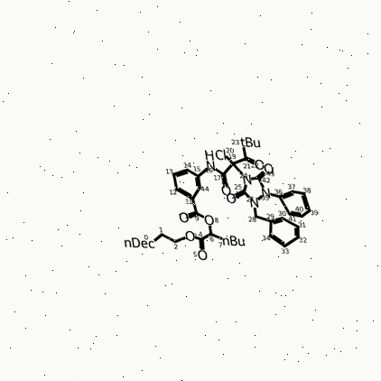 CCCCCCCCCCCCOC(=O)C(CCCC)OC(=O)c1cccc(NC(=O)C(Cl)(C(=O)C(C)(C)C)n2c(=O)n(Cc3ccccc3)n(-c3ccccc3)c2=O)c1